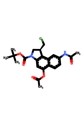 CC(=O)Nc1ccc2c(OC(C)=O)cc3c(c2c1)[C@H](CCl)CN3C(=O)OC(C)(C)C